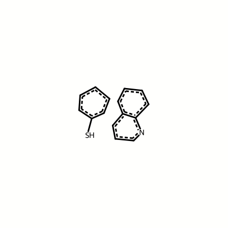 Sc1ccccc1.c1ccc2ncccc2c1